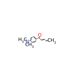 C=CC=CC(=O)c1ccc(N(C)C)cc1